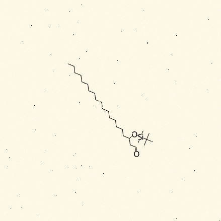 CCCCCCCCCCCCCCCCCC(CC=O)O[Si](C)(C)C(C)(C)C